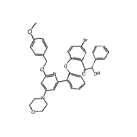 COc1ccc(COc2cc(N3CCOCC3)cc(-c3ccccc3Oc3ccc(Br)cc3C(=O)C(O)c3ccccc3)n2)cc1